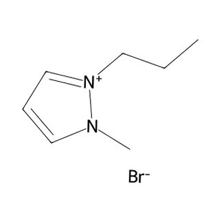 CCC[n+]1cccn1C.[Br-]